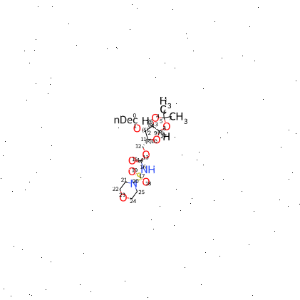 CCCCCCCCCCO[C@@H]1[C@H]2OC(C)(C)O[C@H]2O[C@@H]1COC(=O)NS(=O)(=O)N1CCOCC1